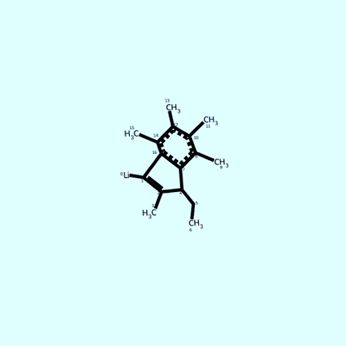 [Li][C]1=C(C)C(CC)c2c(C)c(C)c(C)c(C)c21